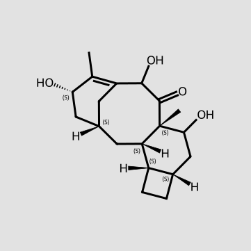 CC1=C2C[C@@H](C[C@@H]1O)C[C@H]1[C@H]3CC[C@H]3CC(O)[C@@]1(C)C(=O)C2O